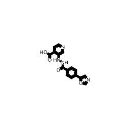 O=C(NNc1cnccc1C(=O)O)c1ccc(-c2cnco2)cc1